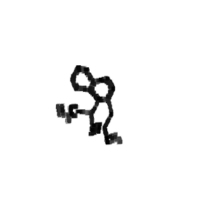 CCCc1ccc2ccccc2c1C(C)S